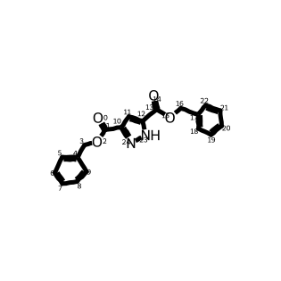 O=C(OCc1ccccc1)c1cc(C(=O)OCc2ccccc2)[nH]n1